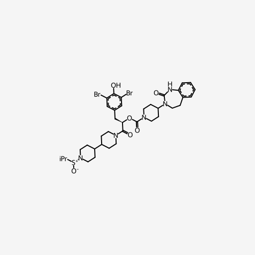 CC(C)[S+]([O-])N1CCC(C2CCN(C(=O)[C@@H](Cc3cc(Br)c(O)c(Br)c3)OC(=O)N3CCC(N4CCc5ccccc5NC4=O)CC3)CC2)CC1